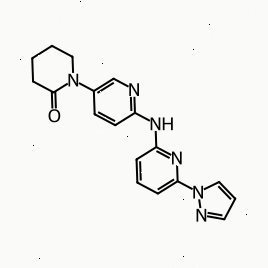 O=C1CCCCN1c1ccc(Nc2cccc(-n3cccn3)n2)nc1